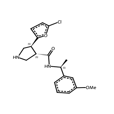 COc1cccc([C@H](C)NC(=O)[C@@H]2CNC[C@H]2c2ccc(Cl)o2)c1